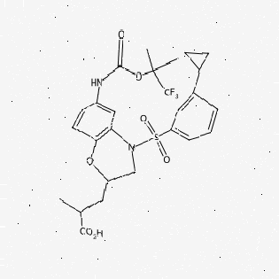 CC(CC1CN(S(=O)(=O)c2cccc(C3CC3)c2)c2cc(NC(=O)OC(C)(C)C(F)(F)F)ccc2O1)C(=O)O